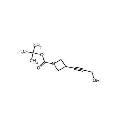 CC(C)(C)OC(=O)N1CC(C#CCO)C1